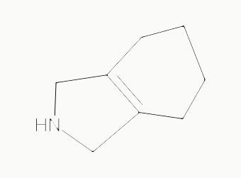 C1CCC2=C(C1)CNC2